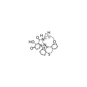 O=C1c2c(O)c(=O)ccn2N2CN1[C@H]1C[C@H]1CCOc1cccc3c1[C@H]2c1ccccc1SC3